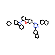 c1ccc(-c2ccc3c(c2)c2ccccc2n3-c2cccc3c2oc2cc(-c4nc(-c5ccc6ccccc6c5)nc(-c5ccc6ccccc6c5)n4)ccc23)cc1